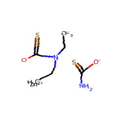 CCN(CC)C([O-])=S.NC([O-])=S.[Zn+2]